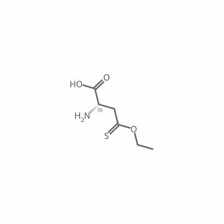 CCOC(=S)C[C@H](N)C(=O)O